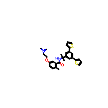 Cc1ccc(OCCN(C)C)cc1C(=O)NC(C)(C)c1cc(-c2cccs2)cc(-c2cccs2)c1